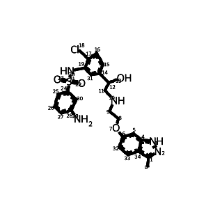 Cc1n[nH]c2cc(OCCNCC(O)c3ccc(Cl)c(NS(=O)(=O)c4cccc(N)c4)c3)ccc12